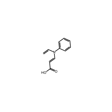 C=CN(C=CC(=O)O)c1ccccc1